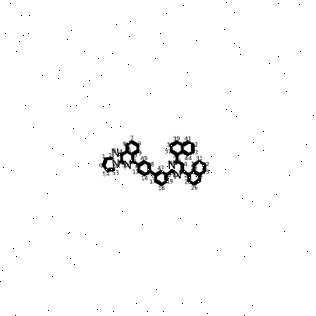 C1=CC2=NC3c4ccccc4C(c4ccc(-c5cccc(-c6nc(-c7cccc8c7CCC=C8)cc(-c7cccc8ccccc78)n6)c5)cc4)=NC3N2C=C1